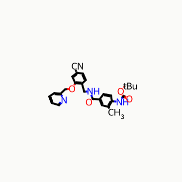 Cc1cc(C(=O)NCc2ccc(C#N)cc2OCc2ccccn2)ccc1NC(=O)OC(C)(C)C